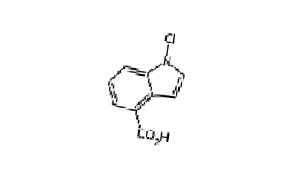 O=C(O)c1cccc2c1ccn2Cl